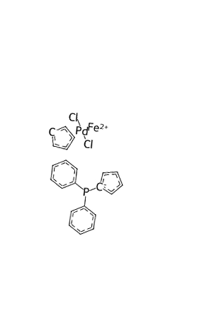 [Cl][Pd][Cl].[Fe+2].c1cc[cH-]c1.c1ccc(P(c2ccccc2)[c-]2cccc2)cc1